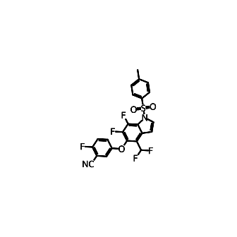 Cc1ccc(S(=O)(=O)n2ccc3c(C(F)F)c(Oc4ccc(F)c(C#N)c4)c(F)c(F)c32)cc1